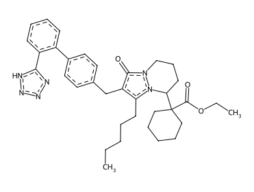 CCCCCc1c(Cc2ccc(-c3ccccc3-c3nnn[nH]3)cc2)c(=O)n2n1C(C1(C(=O)OCC)CCCCC1)CCC2